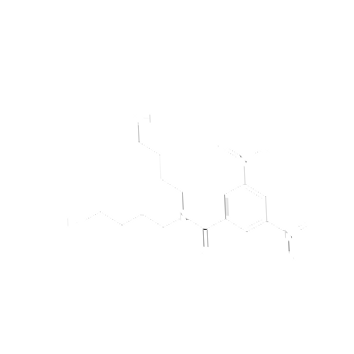 CCCCCN(CCCCC)C(=O)c1cc([N+](=O)[O-])cc([N+](=O)[O-])c1